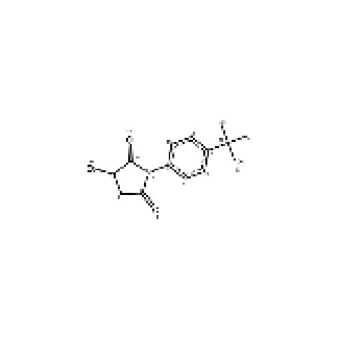 CCC1CC(=O)N(c2ccc(C(C)(C)C(C)C)cc2)C1=O